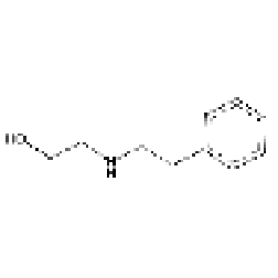 OCCNCCc1cc[c]cc1